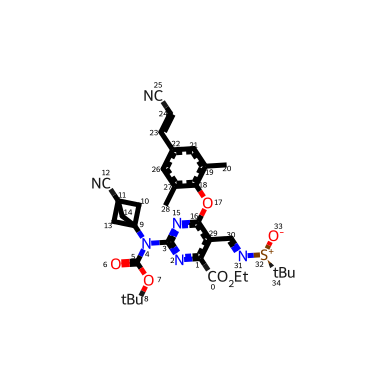 CCOC(=O)c1nc(N(C(=O)OC(C)(C)C)C23CC(C#N)(C2)C3)nc(Oc2c(C)cc(/C=C/C#N)cc2C)c1/C=N/[S@@+]([O-])C(C)(C)C